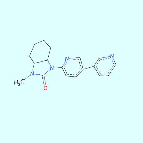 CN1C(=O)N(c2ccc(-c3cccnc3)cn2)C2CCCCC21